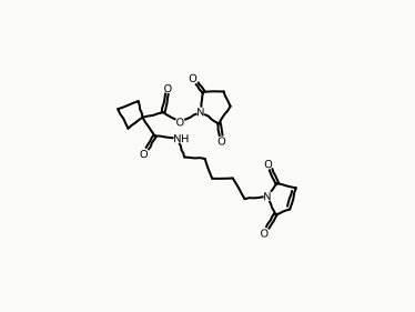 O=C1C=CC(=O)N1CCCCCNC(=O)C1(C(=O)ON2C(=O)CCC2=O)CCC1